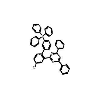 Clc1ccc(-c2cccc([Si](c3ccccc3)(c3ccccc3)c3ccccc3)c2)c(-c2nc(-c3ccccc3)nc(-c3ccccc3)n2)c1